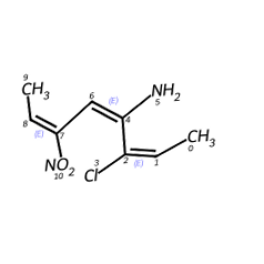 C\C=C(Cl)/C(N)=C\C(=C/C)[N+](=O)[O-]